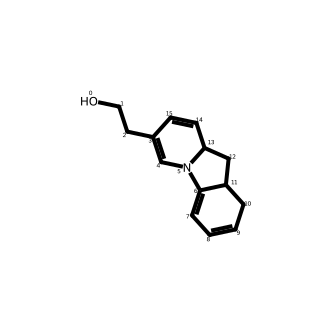 OCCC1=CN2C3=CC=CCC3CC2C=C1